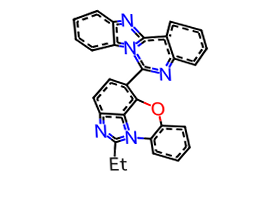 CCc1nc2ccc(-c3nc4ccccc4c4nc5ccccc5n34)c3c2n1-c1ccccc1O3